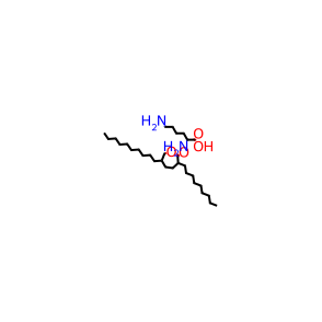 CCCCCCCCCCC1CCC(CCCCCCCCC)C(=O)OC1.NCCCC[C@H](N)C(=O)O